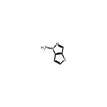 Pn1ncc2sccc21